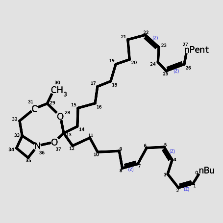 CCCC/C=C\C/C=C\C/C=C\CCCCC1(CCCCCCCC/C=C\C/C=C\CCCCC)OC(C)CCC2CCN2O1